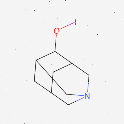 IOC1C2CC3CC1CN(C3)C2